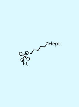 [CH2]COS(=O)(=O)OCCCCCCCCCCCC